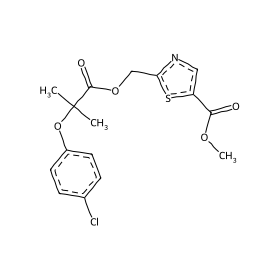 COC(=O)c1cnc(COC(=O)C(C)(C)Oc2ccc(Cl)cc2)s1